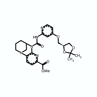 COC(=O)c1ccc2c(n1)N(C(=O)Nc1cc(OC[C@H]3COC(C)(C)O3)ccn1)C1CCCN2C1